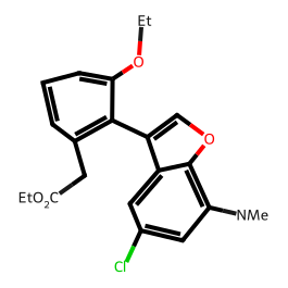 CCOC(=O)Cc1cccc(OCC)c1-c1coc2c(NC)cc(Cl)cc12